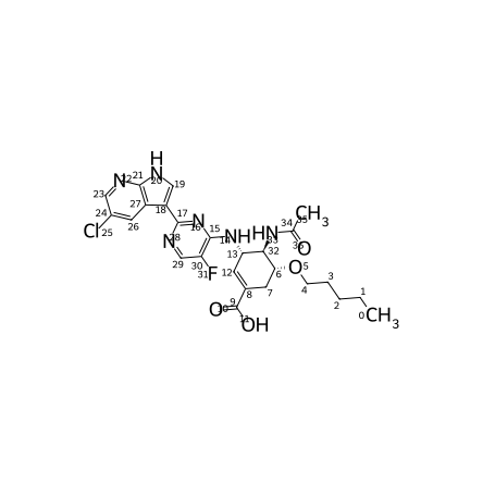 CCCCCO[C@@H]1CC(C(=O)O)=C[C@H](Nc2nc(-c3c[nH]c4ncc(Cl)cc34)ncc2F)[C@H]1NC(C)=O